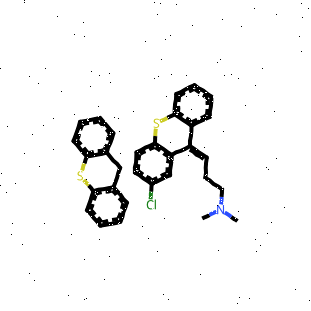 CN(C)CC/C=C1/c2ccccc2Sc2ccc(Cl)cc21.c1ccc2c(c1)Cc1ccccc1S2